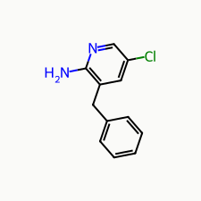 Nc1ncc(Cl)cc1Cc1ccccc1